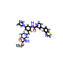 Cc1cn(-c2cc(CN3CCC[C@H](NC(=O)OC(C)(C)C)C3)cc(NC(=O)c3cc(-c4ccc5scnc5c4)ccn3)c2)cn1